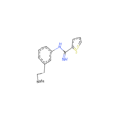 CNCCc1cccc(NC(=N)c2cccs2)c1